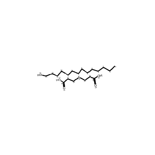 CCCCCCCCCCCCCCO.O=C(O)CCSCCC(=O)O